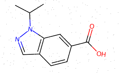 CC(C)n1ncc2ccc(C(=O)O)cc21